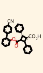 N#Cc1ccc(-c2ccccc2OC(=O)C2C(c3ccccc3)[C@H](C(=O)O)[C@H]2c2ccccc2)cc1